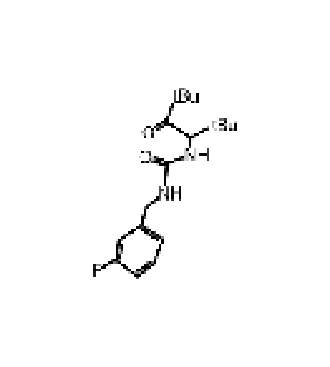 CC(C)(C)C(=O)C(NC(=O)NCc1cccc(F)c1)C(C)(C)C